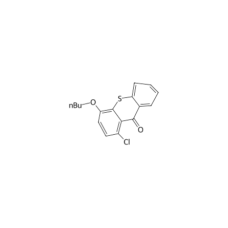 CCCCOc1ccc(Cl)c2c(=O)c3ccccc3sc12